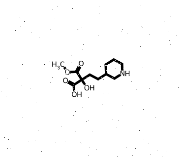 COC(=O)C(O)(CCC1CCCNC1)C(=O)O